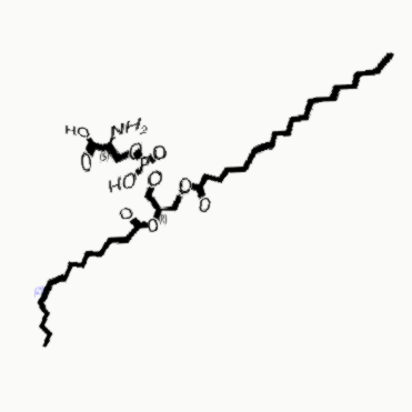 CCCC/C=C\CCCCCCCC(=O)O[C@H](COC(=O)CCCCCCCCCCCCCCCCC)COP(=O)(O)OC[C@H](N)C(=O)O